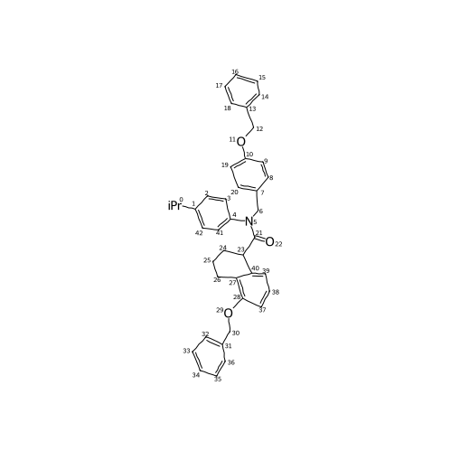 CC(C)c1ccc(N(Cc2ccc(OCc3ccccc3)cc2)C(=O)C2CCCc3c(OCc4ccccc4)cccc32)cc1